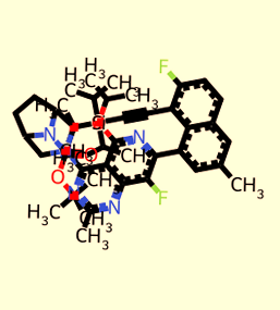 Cc1cc(-c2nc(OC(C)C)c3c(N4CC5CCC(C4)N5C(=O)OC(C)(C)C)nc(C)nc3c2F)c2c(C#C[Si](C(C)C)(C(C)C)C(C)C)c(F)ccc2c1